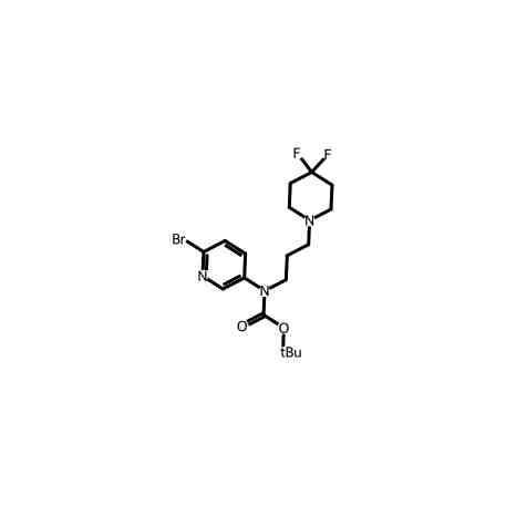 CC(C)(C)OC(=O)N(CCCN1CCC(F)(F)CC1)c1ccc(Br)nc1